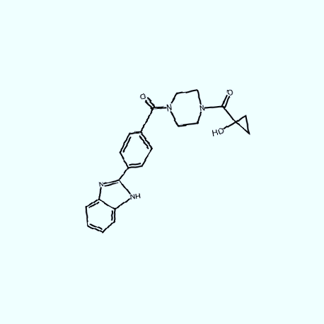 O=C(c1ccc(-c2nc3ccccc3[nH]2)cc1)N1CCN(C(=O)C2(O)CC2)CC1